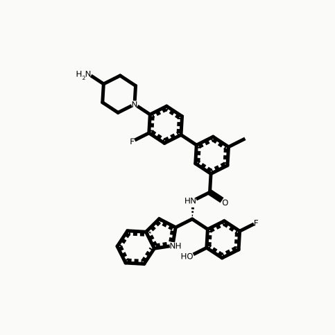 Cc1cc(C(=O)N[C@@H](c2cc3ccccc3[nH]2)c2cc(F)ccc2O)cc(-c2ccc(N3CCC(N)CC3)c(F)c2)c1